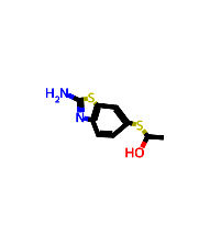 CC(O)Sc1ccc2nc(N)sc2c1